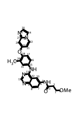 COCCC(=O)Nc1ccc2ncnc(Nc3ccc(Oc4ccn5ccnc5c4)c(C)c3)c2c1